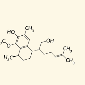 COc1c(O)c(C)cc2c1[C@H](C)CC[C@H]2C(CO)CCC=C(C)C